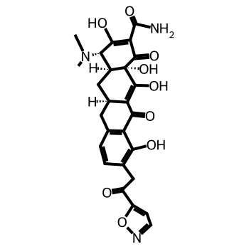 CN(C)[C@@H]1C(O)=C(C(N)=O)C(=O)[C@@]2(O)C(O)=C3C(=O)c4c(ccc(CC(=O)c5ccno5)c4O)C[C@H]3C[C@@H]12